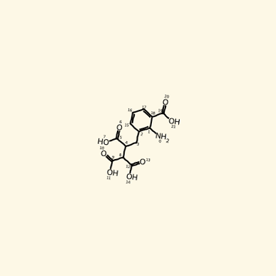 Nc1c(CC(C(=O)O)C(C(=O)O)C(=O)O)cccc1C(=O)O